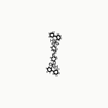 O=C(Nc1ccccc1-c1ccccc1)OC1CCN(CCN2CCC(OC(=O)Nc3ccccc3-c3ccccc3)CC2)CC1